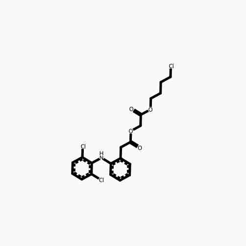 O=C(COC(=O)Cc1ccccc1Nc1c(Cl)cccc1Cl)OCCCCCl